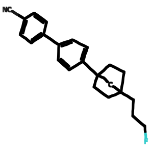 N#Cc1ccc(-c2ccc(C34CCC(CCCF)(CC3)CC4)cc2)cc1